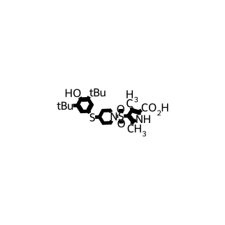 Cc1[nH]c(C(=O)O)c(C)c1S(=O)(=O)N1CCC(Sc2cc(C(C)(C)C)c(O)c(C(C)(C)C)c2)CC1